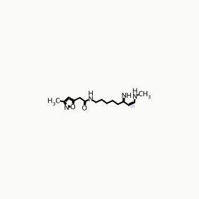 CN/C=C\C(=N)CCCCCNC(=O)Cc1cc(C)no1